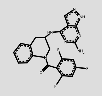 Nc1nc(NC2Cc3ccccc3N(C(=O)c3c(F)cc(F)cc3F)C2)c2cn[nH]c2n1